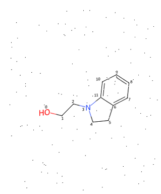 OCCN1CCc2cc[c]cc21